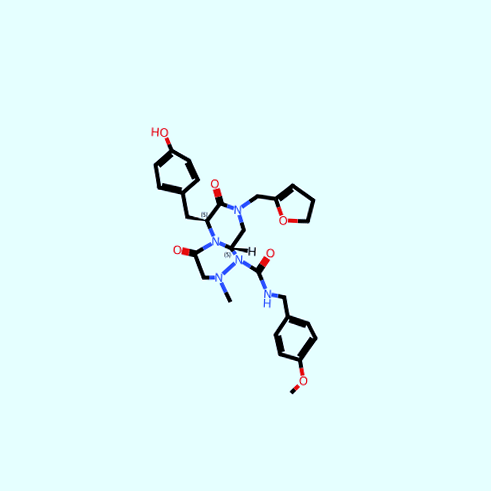 COc1ccc(CNC(=O)N2[C@H]3CN(CC4=CCCO4)C(=O)[C@H](Cc4ccc(O)cc4)N3C(=O)CN2C)cc1